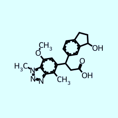 COc1cc(C(CC(=O)O)c2ccc3c(c2)C(O)CC3)c(C)c2nnn(C)c12